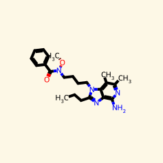 CCCc1nc2c(N)nc(C)c(C)c2n1CCCCN(OC)C(=O)c1ccccc1